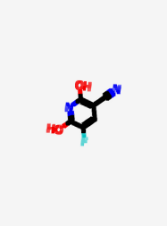 N#Cc1cc(F)c(O)nc1O